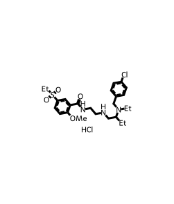 CCC(CNCCNC(=O)c1cc(S(=O)(=O)CC)ccc1OC)N(CC)Cc1ccc(Cl)cc1.Cl